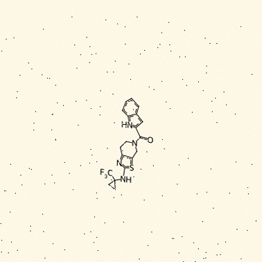 O=C(c1cc2ccccc2[nH]1)N1CCc2nc(NC3(C(F)(F)F)CC3)sc2C1